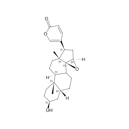 C[C@]12CC[C@H](O)C[C@H]1CCC1[C@@H]2CC[C@]2(C)[C@@H](c3ccc(=O)oc3)C[C@H]3O[C@]132